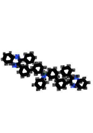 c1ccc(-c2nc3ccccc3nc2-c2cccc(-c3cccc(N(c4ccccc4)c4cccc(-c5cccc(-c6nc7ccccc7nc6-c6ccccc6)c5)c4)c3)c2)cc1